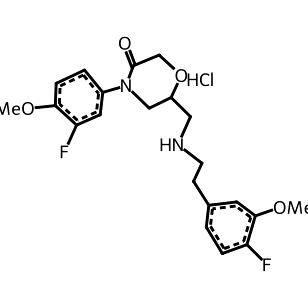 COc1ccc(N2CC(CNCCc3ccc(F)c(OC)c3)OCC2=O)cc1F.Cl